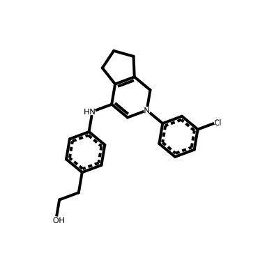 OCCc1ccc(NC2=CN(c3cccc(Cl)c3)CC3=C2CCC3)cc1